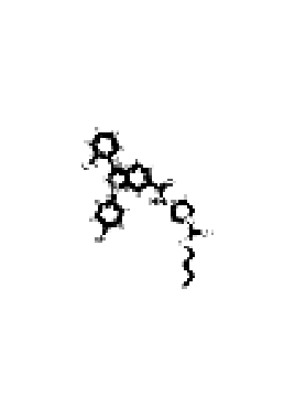 CCCCOC(=O)N1CC[C@@H](NC(=O)c2ccc3c(-c4ccccc4Cl)nn(-c4ccc(F)cc4)c3c2)C1